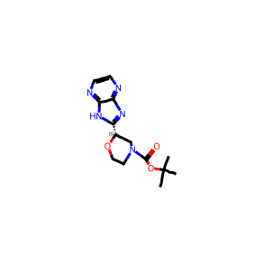 CC(C)(C)OC(=O)N1CCO[C@H](c2nc3nccnc3[nH]2)C1